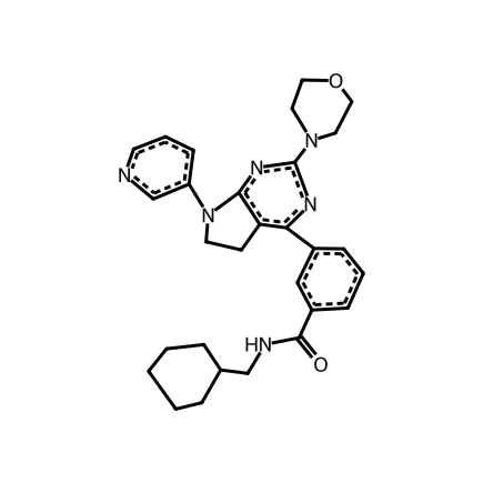 O=C(NCC1CCCCC1)c1cccc(-c2nc(N3CCOCC3)nc3c2CCN3c2cccnc2)c1